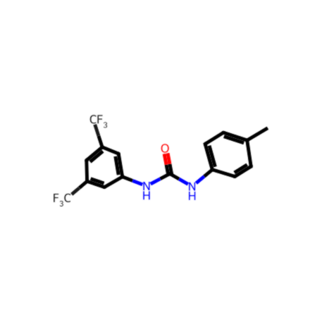 Cc1ccc(NC(=O)Nc2cc(C(F)(F)F)cc(C(F)(F)F)c2)cc1